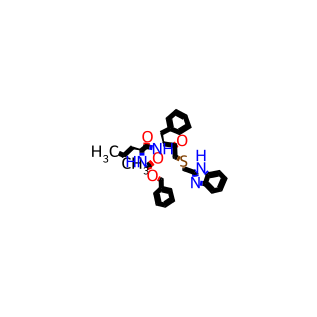 CC(C)C[C@H](NC(=O)OCc1ccccc1)C(=O)N[C@@H](Cc1ccccc1)C(=O)CSCc1nc2ccccc2[nH]1